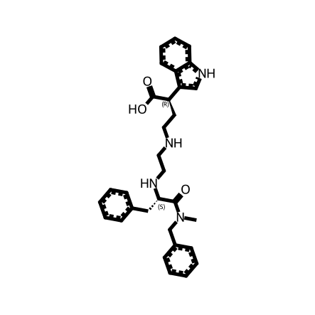 CN(Cc1ccccc1)C(=O)[C@H](Cc1ccccc1)NCCNCC[C@@H](C(=O)O)c1c[nH]c2ccccc12